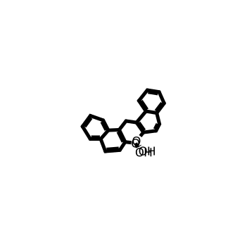 OOc1ccc2ccccc2c1Cc1c(OO)ccc2ccccc12